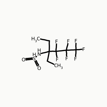 CCC(CC)(N[SH](=O)=O)C(F)(F)C(F)(F)C(F)(F)F